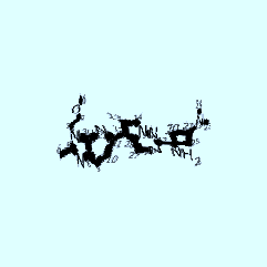 COCCn1c(C)nc2ccc(-c3ccn4nc(C5(N)CC(N(C)C)C5)ncc34)nc21